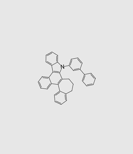 c1ccc(-c2cccc(-n3c4ccccc4c4c5ccccc5c5c(c43)CCCc3ccccc3-5)c2)cc1